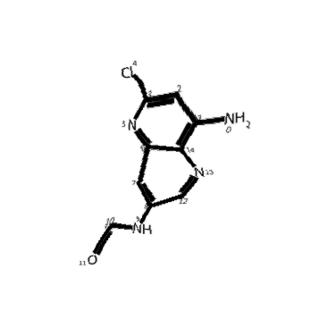 Nc1cc(Cl)nc2cc(N[C]=O)cnc12